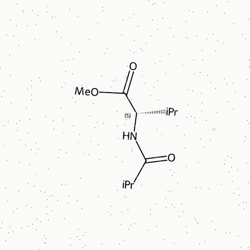 COC(=O)[C@@H](NC(=O)C(C)C)C(C)C